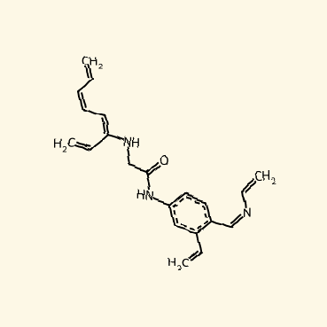 C=C/C=C\C=C(/C=C)NCC(=O)Nc1ccc(/C=N\C=C)c(C=C)c1